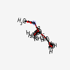 CCCCCCCC/C=C\CCCCCCCC(=O)OC[C@H](COP(=O)(O)OC[C@H](N)C(=O)O)OC(=O)CCCCCCCCCCCNC(=O)CCCC[C@@H]1SC[C@@H]2NC(=O)N[C@@H]21.N